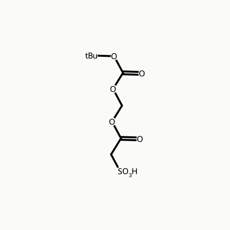 CC(C)(C)OC(=O)OCOC(=O)CS(=O)(=O)O